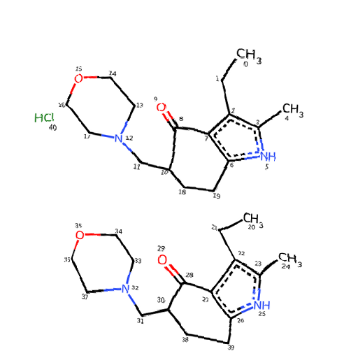 CCc1c(C)[nH]c2c1C(=O)C(CN1CCOCC1)CC2.CCc1c(C)[nH]c2c1C(=O)C(CN1CCOCC1)CC2.Cl